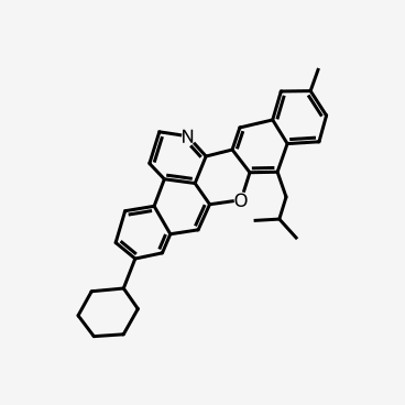 Cc1ccc2c(CC(C)C)c3c(cc2c1)-c1nccc2c1c(cc1cc(C4CCCCC4)ccc12)O3